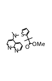 CN(C)c1ccnc2ncccc12.COC(=O)C(C)(C)c1cccs1